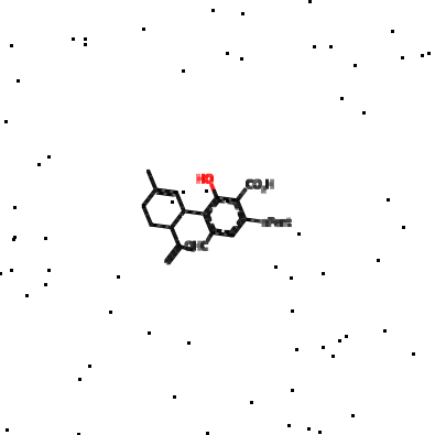 C=C(C)C1CCC(C)=CC1c1c(C=O)cc(CCCCC)c(C(=O)O)c1O